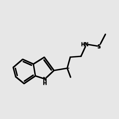 CSNCC[C](C)c1cc2ccccc2[nH]1